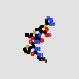 CCNC(=O)NC(C(=O)N[C@@]1(OC)C(=O)N2C(C(=O)O)=C(CSc3cnn[nH]3)CSC21)c1cccs1